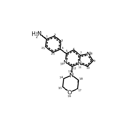 Nc1ccc(-c2cc3nccn3c(N3CCOCC3)n2)cc1